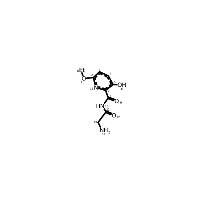 CCOc1ccc(O)c(C(=O)NC(=O)CN)n1